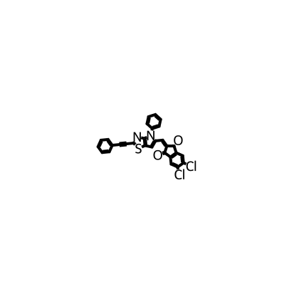 O=C1C(=Cc2cc3sc(C#Cc4ccccc4)nc3n2-c2ccccc2)C(=O)c2cc(Cl)c(Cl)cc21